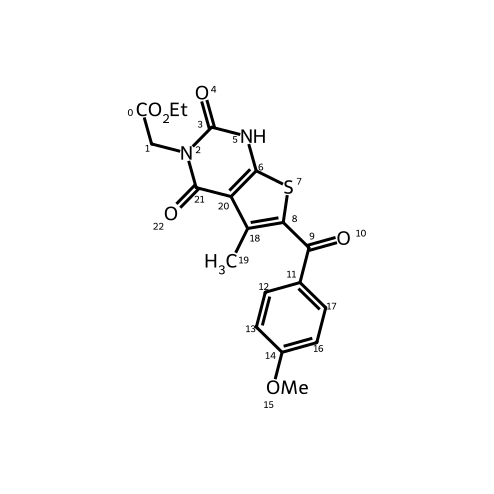 CCOC(=O)Cn1c(=O)[nH]c2sc(C(=O)c3ccc(OC)cc3)c(C)c2c1=O